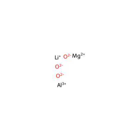 [Al+3].[Li+].[Mg+2].[O-2].[O-2].[O-2]